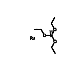 CCO[SiH](OCC)OCC.[Ru]